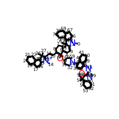 CN1/C(=C/C=C2\CCCC(/C=C/C3=[N+](C)c4ccc5ccccc5c4C3(C)C)=C2OC2CCN(c3cc4c(c5ccccc35)N=CC3(O4)N(C)c4ccccc4C3(C)C)CC2)C(C)(C)c2c1ccc1ccccc21